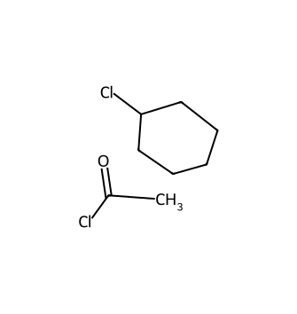 CC(=O)Cl.ClC1CCCCC1